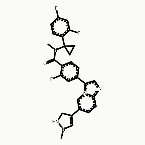 CN1C=C(c2ccc3ncc(-c4ccc(C(=O)N(C)C5(c6ccc(F)cc6F)CC5)c(F)c4)n3c2)CN1